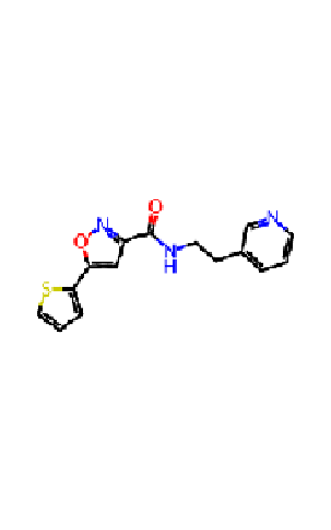 O=C(NCCc1cccnc1)c1cc(-c2cccs2)on1